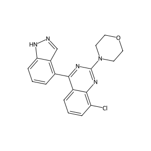 Clc1cccc2c(-c3cccc4[nH]ncc34)nc(N3CCOCC3)nc12